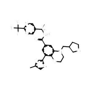 Cc1cnc(-c2cc(C(=O)N[C@H](C)c3cnc(C(F)(F)F)nc3)cc3c2OCCN3CC2CCOC2)s1